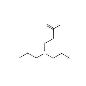 CCC[S+](CCC)CCC(=O)O